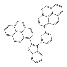 c1cc(-c2c(-c3ccc4ccc5cccc6ccc3c4c56)sc3ccccc23)cc(-c2ccc3ccc4cccc5ccc2c3c45)c1